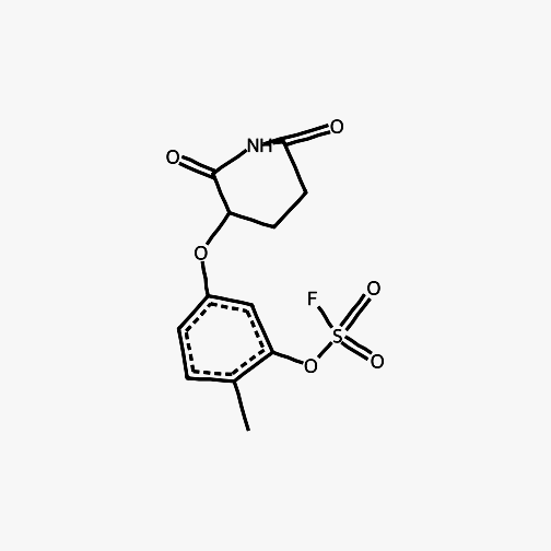 Cc1ccc(OC2CCC(=O)NC2=O)cc1OS(=O)(=O)F